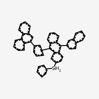 c1ccc([SiH2]c2ccc3c(-c4ccc5ccccc5c4)c4ccccc4c(-c4cccc(-c5cc6ccccc6c6ccccc56)c4)c3c2)cc1